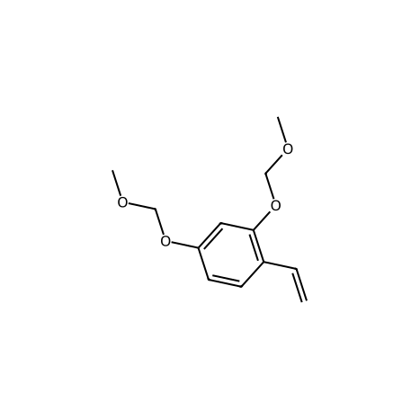 C=Cc1ccc(OCOC)cc1OCOC